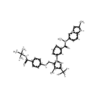 Cc1cn2cc(N(C)C(=O)c3cccc(-n4nc(C(F)(F)F)c(Cl)c4COc4ccc(C(=O)OC(C)(C)C)cc4)c3)ccc2n1